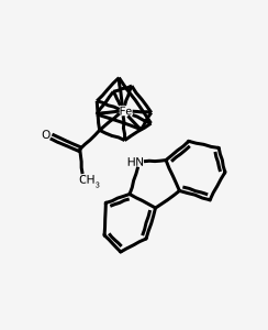 CC(=O)[C]12[CH]3[CH]4[CH]5[CH]1[Fe]45321678[CH]2[CH]1[CH]6[CH]7[CH]28.c1ccc2c(c1)[nH]c1ccccc12